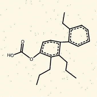 CCCc1c(OC(=O)O)ccc(-c2ccccc2CC)c1CCC